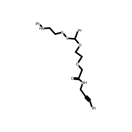 CC(C)C#CCNC(=O)COCCOC(SSCCNC(C)C)C(C)C